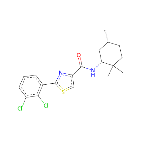 C[C@@H]1CCC(C)(C)[C@H](NC(=O)c2csc(-c3cccc(Cl)c3Cl)n2)C1